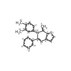 C=C1c2sccc2N=C(c2cccnc2)N1c1ccc(C)c(C)c1